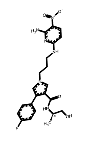 C[C@H](CO)NC(=O)c1cn(CCCNc2ccc([N+](=O)[O-])c(N)n2)cc1-c1ccc(F)cc1